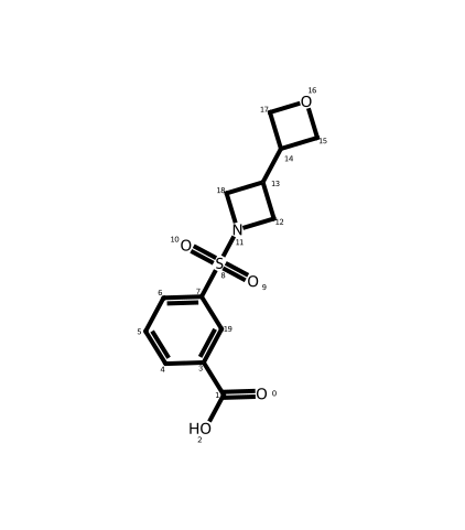 O=C(O)c1cccc(S(=O)(=O)N2CC(C3COC3)C2)c1